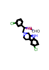 NC(CN1CCc2c([nH]c3ccc(Cl)cc23)C1)c1cccc(Cl)c1.O=CO